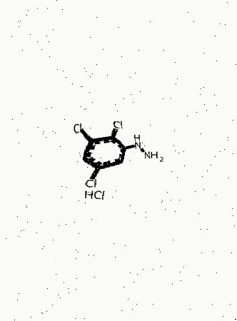 Cl.NNc1cc(Cl)cc(Cl)c1Cl